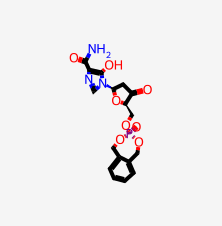 NC(=O)c1ncn([C@H]2CC(=O)[C@@H](COP3(=O)OCc4ccccc4CO3)O2)c1O